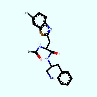 CCC(=O)NC(Cc1nc2ccc(C(C)C)cc2s1)C(=O)NC(CN)Cc1ccccc1